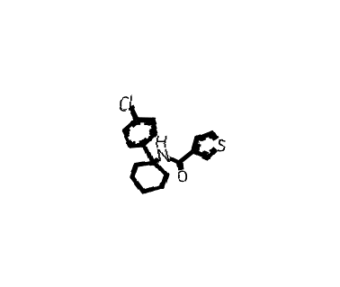 O=C(NC1(c2ccc(Cl)cc2)CCCCC1)c1ccsc1